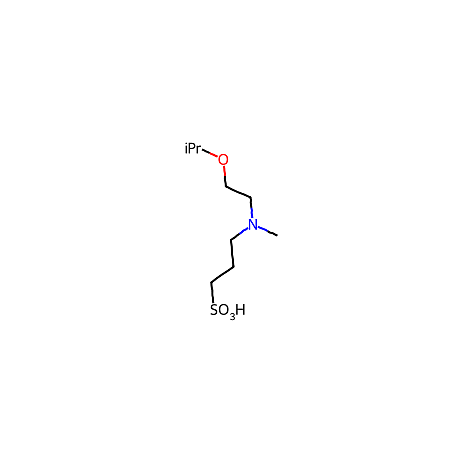 CC(C)OCCN(C)CCCS(=O)(=O)O